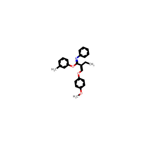 CCC(=COc1ccc(OC)cc1)/C(=N\c1ccccc1)Oc1cccc(C)c1